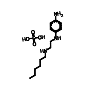 CCCCCCNCCNc1ccc(N)cc1.O=S(=O)(O)O